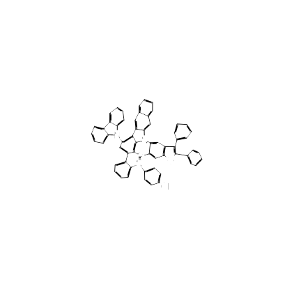 Cc1ccc(N2B3c4cc5oc(-c6ccccc6)c(-c6ccccc6)c5cc4-n4c5cc6ccccc6cc5c5c(-n6c7ccccc7c7ccccc76)cc(c3c54)-c3ccccc32)cc1